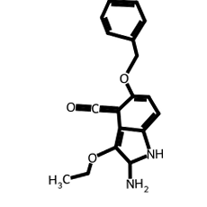 CCOC1=c2c(ccc(OCc3ccccc3)c2=C=O)NC1N